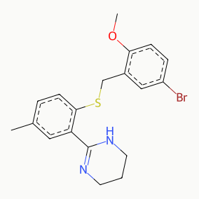 COc1ccc(Br)cc1CSc1ccc(C)cc1C1=NCCCN1